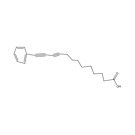 O=C(O)CCCCCCCCC#CC#Cc1ccccc1